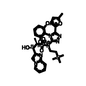 COc1cccc(OC)c1-n1c(-c2ccc(C)o2)nnc1N(CC[Si](C)(C)C)S(=O)(=O)[C@H](C)[C@@H](O)c1cn2ccccc2n1